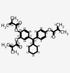 C=C(C)C(=O)Oc1ccc(C(=C2CCCCC2)c2ccc(OC(=O)C(=C)C)c(OC(=O)C(=C)C)c2)cc1